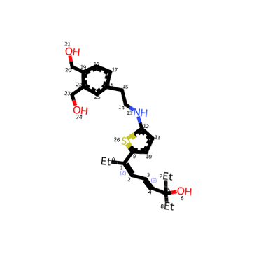 CC/C(=C/C=C/C(O)(CC)CC)c1ccc(NCCc2ccc(CO)c(CO)c2)s1